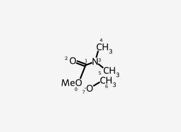 COC(=O)N(C)C.C[O]